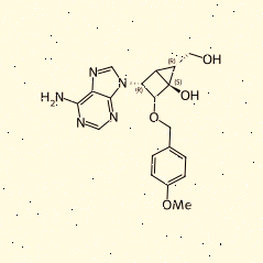 COc1ccc(COC2[C@H](n3cnc4c(N)ncnc43)C3[C@H](CO)[C@]23O)cc1